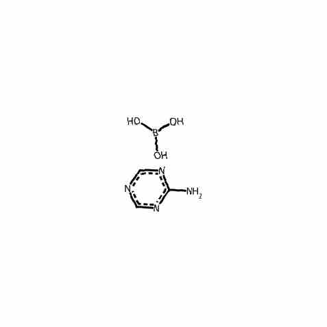 Nc1ncncn1.OB(O)O